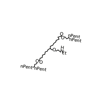 CCCCCC(CCCCC)CCOC(=O)CCCCCCCC(CCCCCCCC(=O)OCCC(CCCCC)CCCCC)COCCCNCC